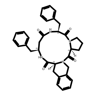 O=C1C[C@H](Cc2ccccc2)NC(=O)[C@@H]2Cc3ccccc3CN2C(=O)[C@@H]2CCCN2C(=O)[C@H](Cc2ccccc2)N1